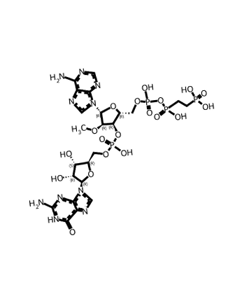 CO[C@@H]1[C@H](OP(=O)(O)OC[C@H]2O[C@@H](n3cnc4c(=O)[nH]c(N)nc43)[C@H](O)[C@@H]2O)[C@@H](COP(=O)(O)OP(=O)(O)CCP(=O)(O)O)O[C@H]1n1cnc2c(N)ncnc21